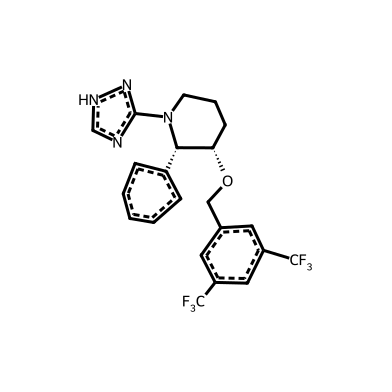 FC(F)(F)c1cc(CO[C@H]2CCCN(c3nc[nH]n3)[C@H]2c2ccccc2)cc(C(F)(F)F)c1